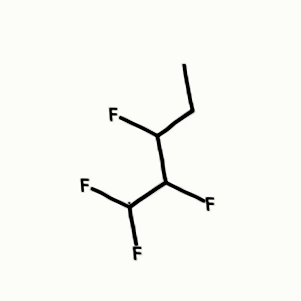 CCC(F)C(F)[C](F)F